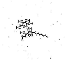 CCCCCCCCC(=O)N[C@@H](CO[C@H]1OC(CO)[C@H](O)C(O)C1O)[C@H](O)[C@H](O)CCC